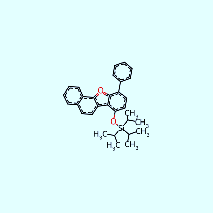 CC(C)[Si](Oc1ccc(-c2ccccc2)c2oc3c4ccccc4ccc3c12)(C(C)C)C(C)C